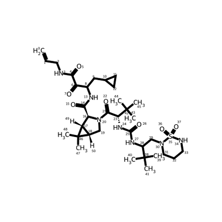 C=CCNC(=O)C(=O)C(CC1CC1)NC(=O)[C@@H]1[C@@H]2[C@H](CN1C(=O)[C@@H](NC(=O)NC(CN1CCCNS1(=O)=O)C(C)(C)C)C(C)(C)C)C2(C)C